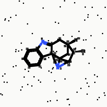 CC[C@@H]1CN2CC[C@@]34C(=Nc5ccccc53)C[C@H]1C[C@H]24